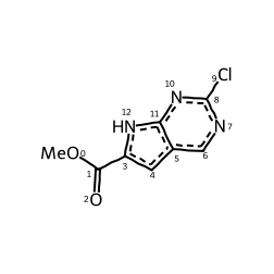 COC(=O)c1cc2cnc(Cl)nc2[nH]1